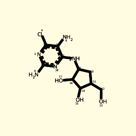 Nc1nc(Cl)c(N)c(NC2CC(CO)C(O)C2O)n1